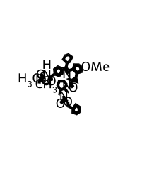 COc1ccc2c(c1)C1CC1(C(=O)N1CCCC3CN(C(=O)OCc4ccccc4)CC31)Cn1c-2c(C2CCCCC2)c2ccc(C(=O)NS(=O)(=O)N(C)C)cc21